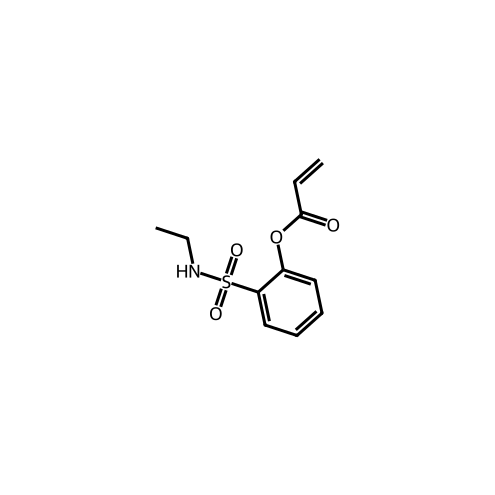 C=CC(=O)Oc1ccccc1S(=O)(=O)NCC